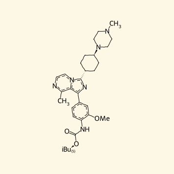 CC[C@H](C)OC(=O)Nc1ccc(-c2nc([C@H]3CC[C@H](N4CCN(C)CC4)CC3)n3ccnc(C)c23)cc1OC